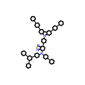 c1ccc(-c2ccc(-c3ccc4c(c3)c3cc(-c5ccc(-c6ccccc6)cc5)ccc3n4-c3ccc(-c4ccc(N(c5ccc(-c6ccccc6)cc5)c5ccc(-c6cc(-c7ccccc7)cc(-c7ccccc7)c6)cc5)c5nsnc45)cc3)cc2)cc1